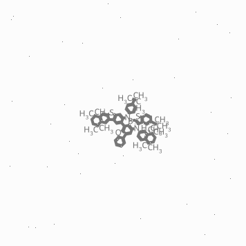 CC(C)(C)c1ccc(N2B3c4sc5ccc(C(C)(C)C)cc5c4N(c4ccc5c(c4)C(C)(C)CCC5(C)C)c4cc5c(oc6ccccc65)c(c43)-c3cc4c(cc32)sc2cc3c(cc24)C(C)(C)CCC3(C)C)cc1